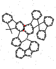 CC1(C)c2ccccc2-c2cccc(-c3ccccc3N(c3ccc4c(c3)C3(c5ccccc5-c5ccccc53)c3ccccc3-4)c3cccc4sc5ccccc5c34)c21